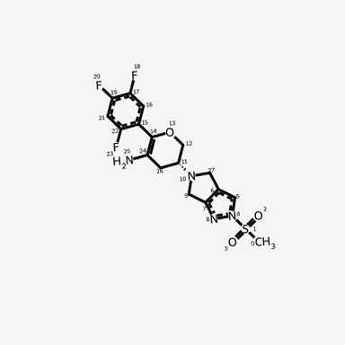 CS(=O)(=O)n1cc2c(n1)CN([C@H]1COC(c3cc(F)c(F)cc3F)=C(N)C1)C2